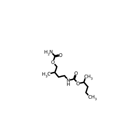 CCCC(C)OC(=O)NCCC(C)COC(N)=O